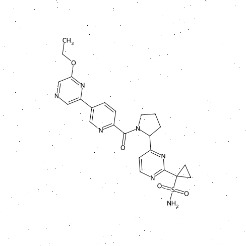 CCOc1cncc(-c2ccc(C(=O)N3CCCC3c3ccnc(C4(S(N)(=O)=O)CC4)n3)nc2)n1